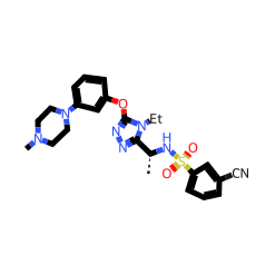 CCn1c(Oc2cccc(N3CCN(C)CC3)c2)nnc1[C@@H](C)NS(=O)(=O)c1cccc(C#N)c1